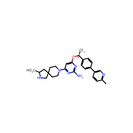 Cc1ccc(-c2ccc([C@@H](Oc3cc(N4CCC5(CC4)CNC(C(=O)O)C5)nc(N)n3)C(F)(F)F)cc2)cn1